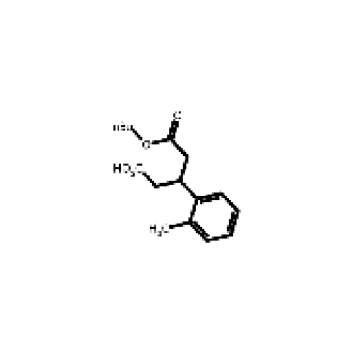 CCCCOC(=O)CC(CC(=O)O)c1ccccc1C